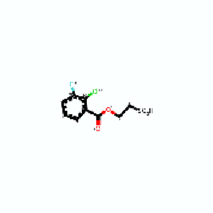 O=C(OCCS(=O)(=O)O)c1cccc(F)c1Cl